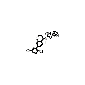 O=C(NC1CCOc2cc(-c3cc(Cl)ccc3Cl)ccc21)O[C@@H]1CN2CCC1CC2